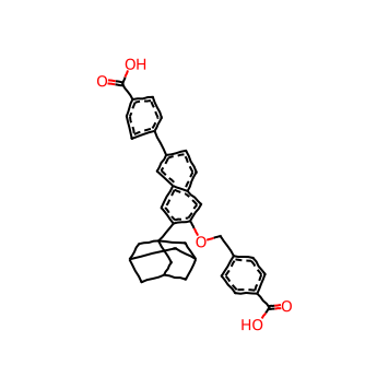 O=C(O)c1ccc(COc2cc3ccc(-c4ccc(C(=O)O)cc4)cc3cc2C23CC4CC(CC(C4)C2)C3)cc1